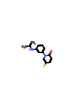 C=C(C)Nc1cccc(-n2cc(F)ccc2=O)c1